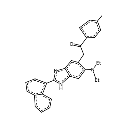 CCN(CC)c1cc2[nH]c(-c3cccc4ccccc34)nc2cc1CC(=O)c1ccc(C)cc1